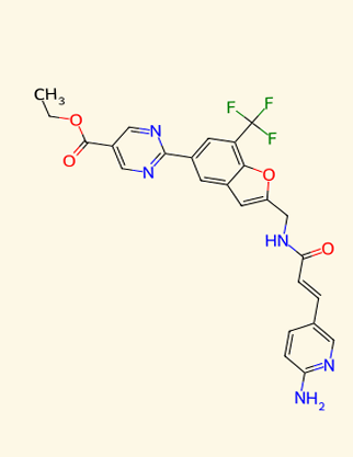 CCOC(=O)c1cnc(-c2cc(C(F)(F)F)c3oc(CNC(=O)C=Cc4ccc(N)nc4)cc3c2)nc1